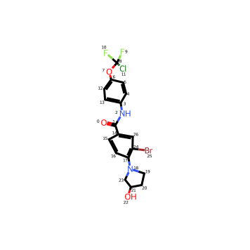 O=C(Nc1ccc(OC(F)(F)Cl)cc1)c1ccc(N2CCC(O)C2)c(Br)c1